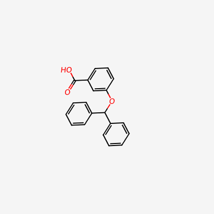 O=C(O)c1cccc(OC(c2ccccc2)c2ccccc2)c1